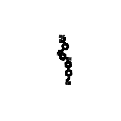 C=CC(=O)N1CCCC(c2cnc3cnc(Nc4ccc(N5CCN(CCO)CC5)cc4)cn23)C1